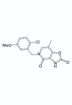 COc1ccc(Cl)c(Cn2cc(C)c3oc(=O)[nH]c3c2=O)c1